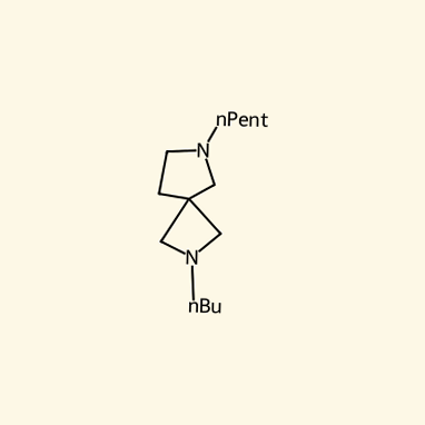 CCCCCN1CCC2(C1)CN(CCCC)C2